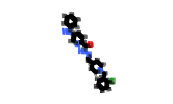 O=C(NN=CC1CCN(Cc2ccccc2Cl)CC1)c1ccc(Nc2ccccc2)cn1